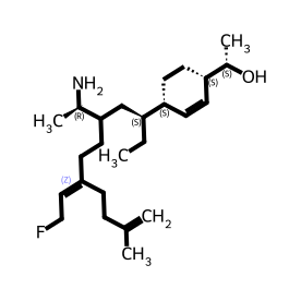 C=C(C)CC/C(=C\CF)CCC(C[C@H](CC)[C@H]1C=C[C@@H]([C@H](C)O)CC1)[C@@H](C)N